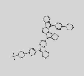 CC(C)(C)c1ccc(-c2ccc(-n3c4ccccc4c4cc(-n5c6ccccc6c6c5ccc5c7ccccc7n(-c7ccc(-c8ccccc8)cc7)c56)ccc43)cc2)cc1